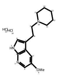 COc1cnc2[nH]cc(CCN3CCCCC3)c2c1.Cl.Cl